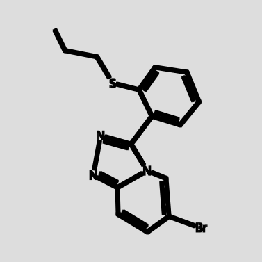 CCCSc1ccccc1-c1nnc2ccc(Br)cn12